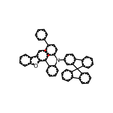 c1ccc(-c2ccc(N(c3ccc4c(c3)C3(c5ccccc5-c5ccccc53)c3ccccc3-4)c3ccccc3-c3cccc4c3oc3ccccc34)cc2)cc1